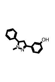 CN1N=C(c2cccc(O)c2)CC1c1ccccc1